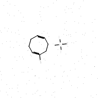 F[B-](F)(F)F.[Ir][C]1=CCCC=CCC1